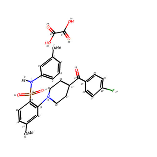 CCN(c1cccc(OC)c1)S(=O)(=O)c1ccc(OC)cc1N1CCC(C(=O)c2ccc(F)cc2)CC1.O=C(O)C(=O)O